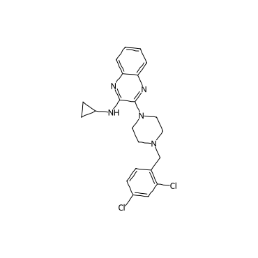 Clc1ccc(CN2CCN(c3nc4ccccc4nc3NC3CC3)CC2)c(Cl)c1